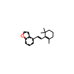 CC1=C(C=Cc2cccc3occc23)C(C)(C)CCC1